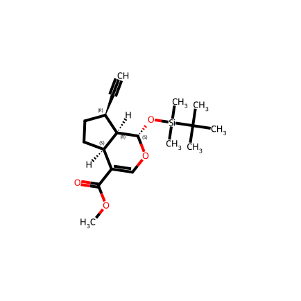 C#C[C@@H]1CC[C@@H]2C(C(=O)OC)=CO[C@@H](O[Si](C)(C)C(C)(C)C)[C@H]12